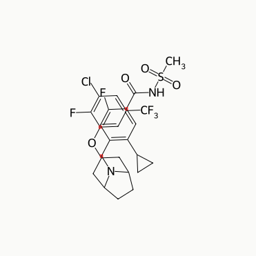 CS(=O)(=O)NC(=O)c1cc(C2CC2)c(CN2C3CCC2CC(Oc2cc(C(F)(F)F)cc(Cl)c2F)C3)cc1F